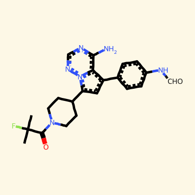 CC(C)(F)C(=O)N1CCC(c2cc(-c3ccc(NC=O)cc3)c3c(N)ncnn23)CC1